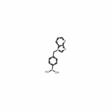 OB(O)c1ccc(Cn2cnc3ncccc32)cc1